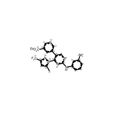 [C-]#[N+]c1cccc(Nc2ncc(-c3cncc(C(=O)OCC)c3)c(-n3nc(C(F)(F)F)cc3C)n2)c1